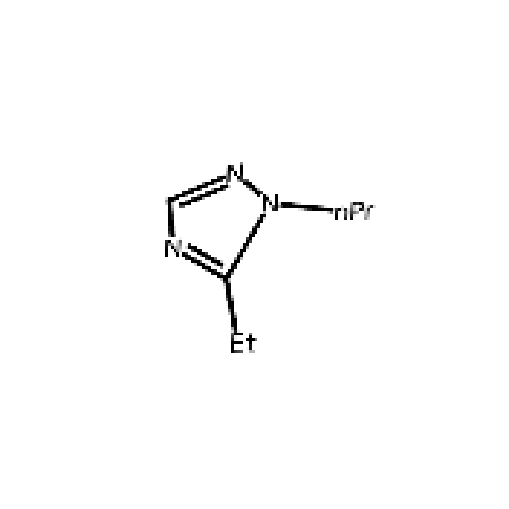 CCCn1ncnc1CC